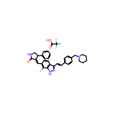 O=C(O)C(F)(F)F.O=C1NCC(c2ccccc2)/C1=C\c1ccc2c(/C=C/c3ccc(CN4CCCCC4)cc3)n[nH]c2c1F